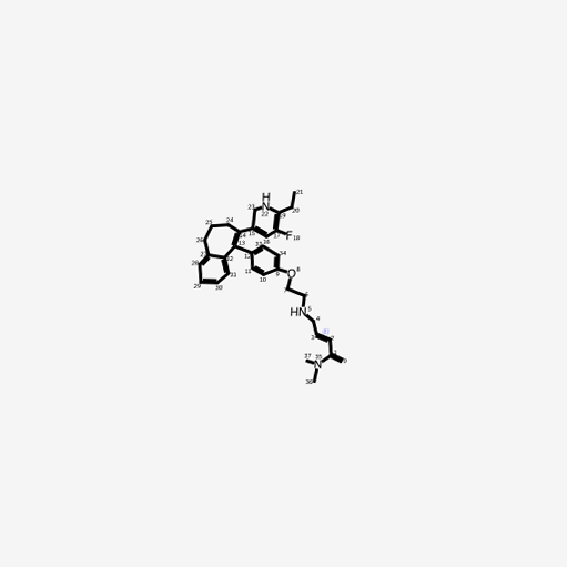 C=C(/C=C/CNCCOc1ccc(C2=C(C3=CC(F)=C(CC)NC3)CCCc3ccccc32)cc1)N(C)C